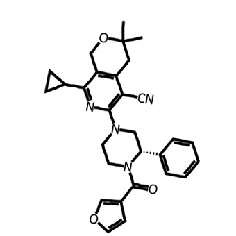 CC1(C)Cc2c(C#N)c(N3CCN(C(=O)c4ccoc4)[C@@H](c4ccccc4)C3)nc(C3CC3)c2CO1